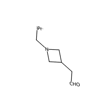 C[C](C)CN1CC(CC=O)C1